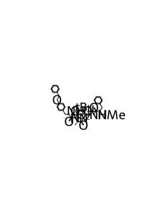 CN[C@@H](Cc1ccccc1)C(=O)NC(=O)CNC(=O)[C@@H](C)N(C(=O)OC(C)(C)C)C(=O)[C@@H](N)Cc1ccc(OCc2ccccc2)cc1